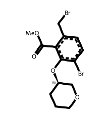 COC(=O)c1c(CBr)ccc(Br)c1O[C@@H]1CCCOC1